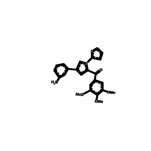 COc1cc(C(=O)c2cc(-c3cccc(N)c3)cn2-c2cccs2)cc(OC)c1OC